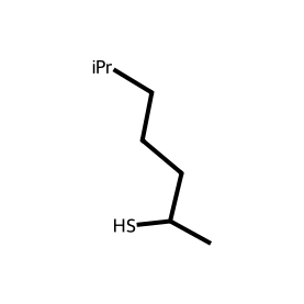 CC(C)CCCC(C)S